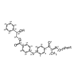 CCCCCO/N=C(\C)C(=O)c1ccc(Sc2ccc(C(=O)OCC(O)c3ccccc3)cc2)cc1